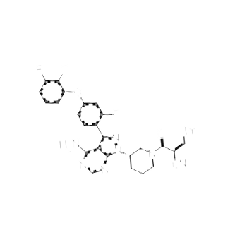 CC(C)/C=C(/C#N)C(=O)N1CCC[C@@H](n2nc(-c3ccc(Oc4cccc(F)c4F)cc3F)c3c(N)ncnc32)C1